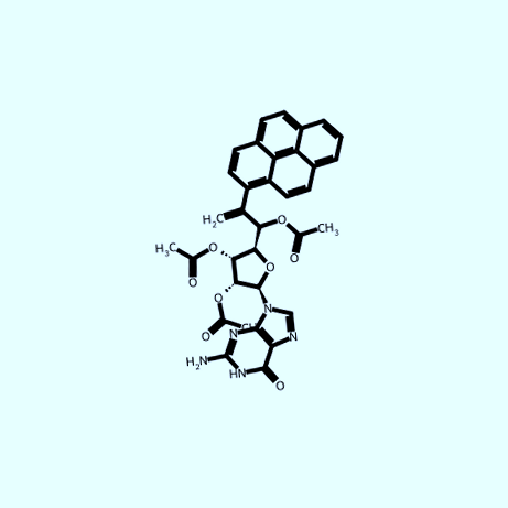 C=C(c1ccc2ccc3cccc4ccc1c2c34)C(OC(C)=O)[C@H]1O[C@@H](n2cnc3c(=O)[nH]c(N)nc32)[C@H](OC(C)=O)[C@@H]1OC(C)=O